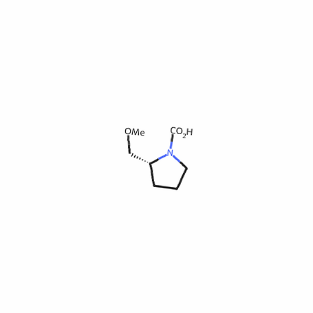 COC[C@H]1CCCN1C(=O)O